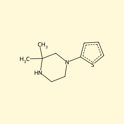 CC1(C)CN(c2cccs2)CCN1